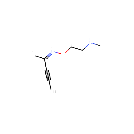 CC#C/C(=N\OCCNCC)C(C)C